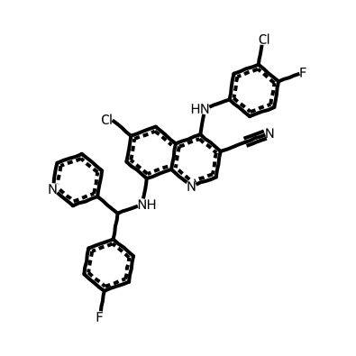 N#Cc1cnc2c(NC(c3ccc(F)cc3)c3cccnc3)cc(Cl)cc2c1Nc1ccc(F)c(Cl)c1